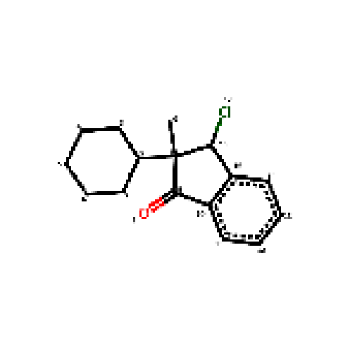 CC1(C2CCCCC2)C(=O)c2ccccc2C1Cl